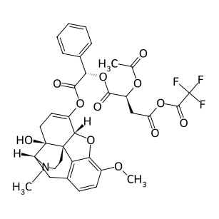 COc1ccc2c3c1O[C@H]1C(OC(=O)[C@@H](OC(=O)[C@H](CC(=O)OC(=O)C(F)(F)F)OC(C)=O)c4ccccc4)=CC[C@@]4(O)[C@@H](C2)N(C)CC[C@]314